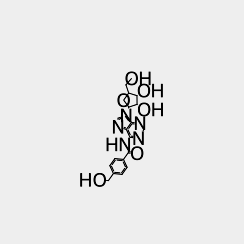 O=C(Nc1ncnc2c1ncn2C1OC(CO)C(O)C1O)c1ccc(CO)cc1